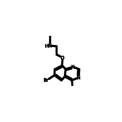 CNCCOc1cc(Br)cc2c(C)ncnc12